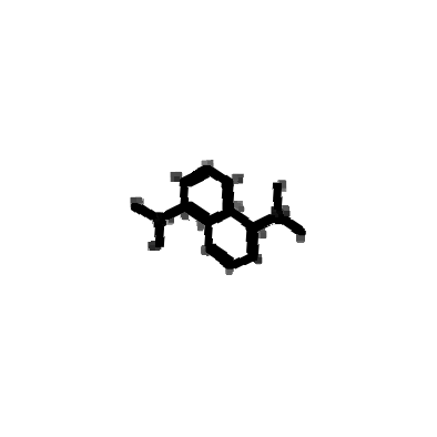 CB(C)c1cccc2c(B(C)C)cccc12